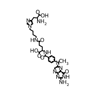 CN(c1ccc(C(=O)NC(CCC(=O)NCCCCn2cnc(CC(N)C(=O)O)c2)C(=O)O)cc1)c1cnc2nc(N)[nH]c(=O)c2n1